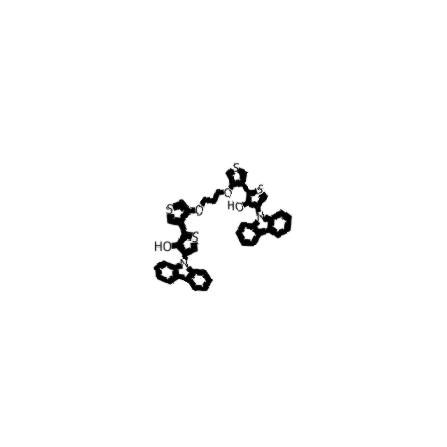 Oc1c(-n2c3ccccc3c3ccccc32)csc1-c1cscc1OCCCOc1cscc1-c1scc(-n2c3ccccc3c3ccccc32)c1O